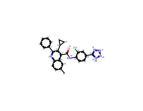 Cc1ccc2nc(-c3ccccc3)c(C3CC3)c(C(=O)Nc3ccc(-c4nnn[nH]4)cc3F)c2c1